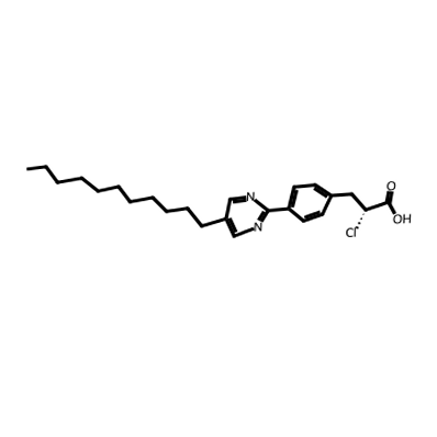 CCCCCCCCCCCc1cnc(-c2ccc(C[C@@H](Cl)C(=O)O)cc2)nc1